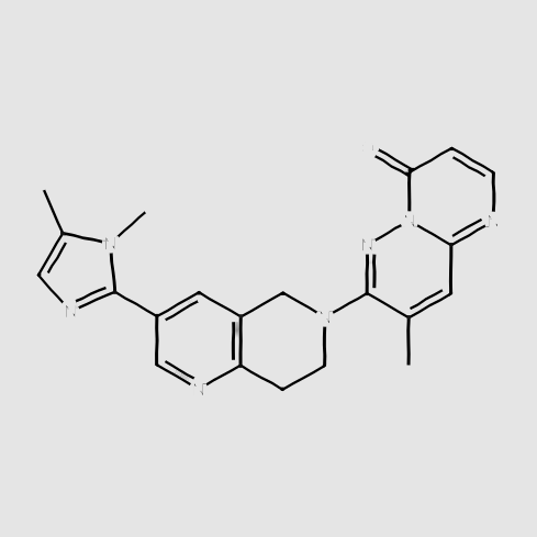 Cc1cc2nccc(=O)n2nc1N1CCc2ncc(-c3ncc(C)n3C)cc2C1